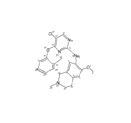 COc1cc2c(cc1Nc1ncc(Cl)c(Oc3ccccc3C)n1)CN(C)CC2